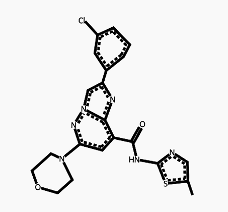 Cc1cnc(NC(=O)c2cc(N3CCOCC3)nn3cc(-c4cccc(Cl)c4)nc23)s1